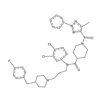 Cc1nn(-c2ccccc2)nc1C(=O)N1CCC(C(=O)N(CCCN2CCC(Cc3ccc(F)cc3)CC2)c2ccc(Cl)c(Cl)c2)CC1